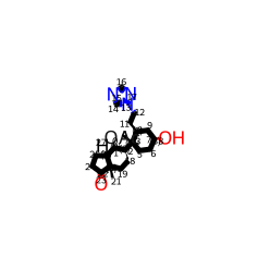 CC(=O)O[C@@H]1[C@H]([C@@]2(C)CC[C@H](O)C[C@@H]2CCn2cncn2)CC[C@]2(C)C(=O)CC[C@H]12